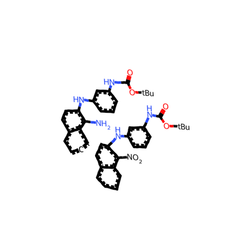 CC(C)(C)OC(=O)Nc1cccc(Nc2ccc3ccccc3c2N)c1.CC(C)(C)OC(=O)Nc1cccc(Nc2ccc3ccccc3c2[N+](=O)[O-])c1